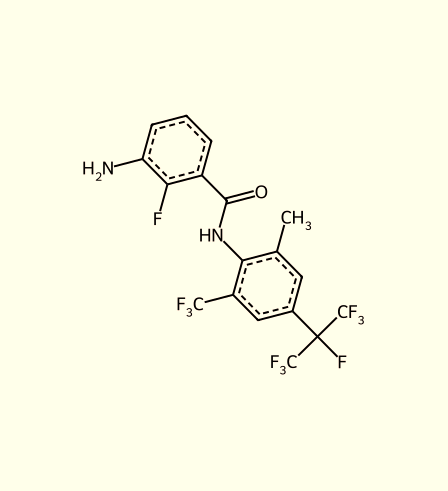 Cc1cc(C(F)(C(F)(F)F)C(F)(F)F)cc(C(F)(F)F)c1NC(=O)c1cccc(N)c1F